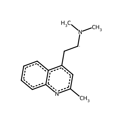 Cc1cc(C[CH]N(C)C)c2ccccc2n1